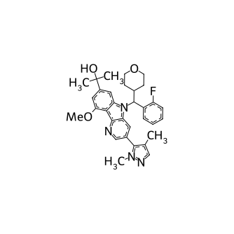 COc1cc(C(C)(C)O)cc2c1c1ncc(-c3c(C)cnn3C)cc1n2C(c1ccccc1F)C1CCOCC1